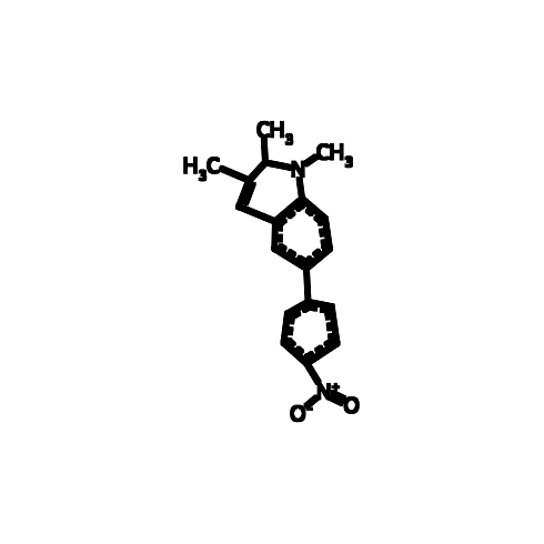 CC1=Cc2cc(-c3ccc([N+](=O)[O-])cc3)ccc2N(C)C1C